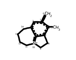 C=c1cc2c3c(c1C)CC[N+]=3CCCC2